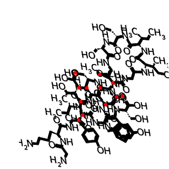 CC[C@H](C)[C@H](NC(=O)CNC(=O)[C@@H](NC(=O)[C@H](Cc1c[nH]c2ccccc12)NC(=O)[C@H](CCC(=O)O)NC(=O)[C@H](CC(C)C)NC(=O)CNC(=O)[C@H](CCCCN)NC(=O)CN)[C@@H](C)CC)C(=O)N[C@H](C(=O)N[C@@H](CO)C(=O)N[C@@H](CO)C(=O)NCC(=O)N[C@@H](C)C(=O)N[C@@H](CO)C(=O)N[C@H](C(=O)N[C@@H](Cc1ccc(O)cc1)C(=O)N[C@@H](Cc1ccc(O)cc1)C(=O)N[C@@H](C)C(=O)N[C@@H](CO)C(=O)O)[C@@H](C)O)[C@@H](C)CC